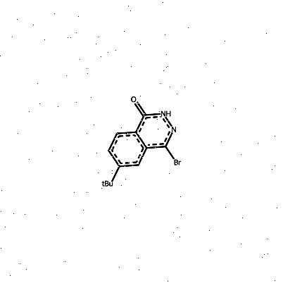 CC(C)(C)c1ccc2c(=O)[nH]nc(Br)c2c1